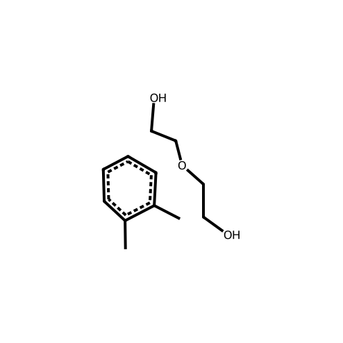 Cc1ccccc1C.OCCOCCO